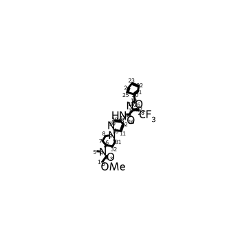 COCC(=O)N(C)C1CCN(c2ccc(NC(=O)c3nc(-c4ccccc4)oc3C(F)(F)F)cn2)CC1